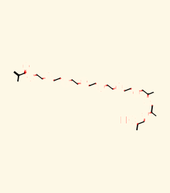 C=C(C)C(=O)OCCOCCOCCOCCOCCOCCOCC(C)OCC(C)OCC(C)O